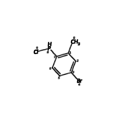 Cc1cc(Br)ccc1PCl